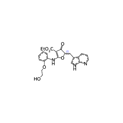 CCOC(=O)C1=C(Nc2ccccc2OCCO)O/C(=C\c2c[nH]c3ncccc23)C1=O